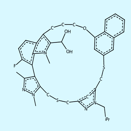 Cc1nn(C)c2c1-c1c(F)ccc3c(c(C(O)O)n(C)c13)CCCOc1cc(cc3ccccc13)SCc1cc(nn1CC(C)C)CSC2